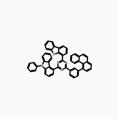 c1ccc(-n2c3ccccc3c3c(-c4nc(-c5cccc(-c6cccc7ccc8ccccc8c67)c5)nc(-c5cccc6c5oc5ccccc56)n4)cccc32)cc1